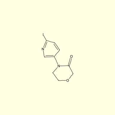 O=C1COCCN1c1ccc(I)nc1